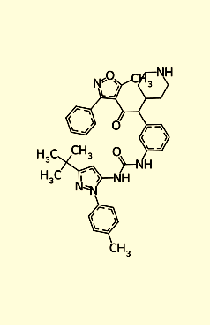 Cc1ccc(-n2nc(C(C)(C)C)cc2NC(=O)Nc2cccc(C(C(=O)c3c(-c4ccccc4)noc3C)C3CCNCC3)c2)cc1